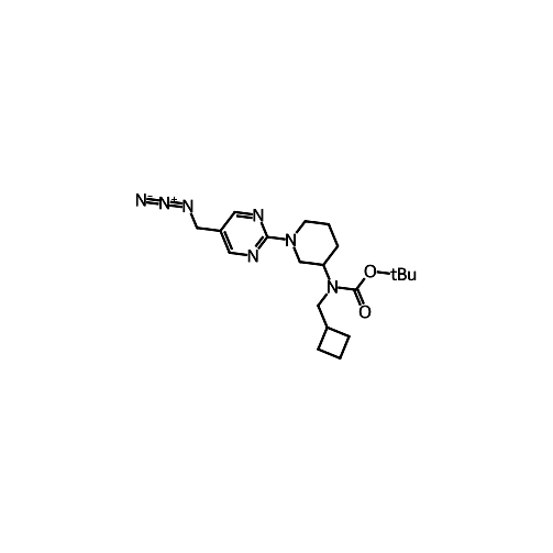 CC(C)(C)OC(=O)N(CC1CCC1)C1CCCN(c2ncc(CN=[N+]=[N-])cn2)C1